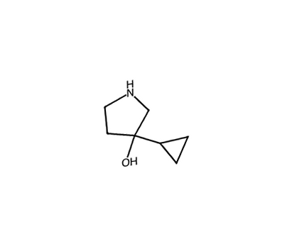 OC1(C2CC2)CCNC1